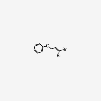 BrC(Br)=CCOc1ccccc1